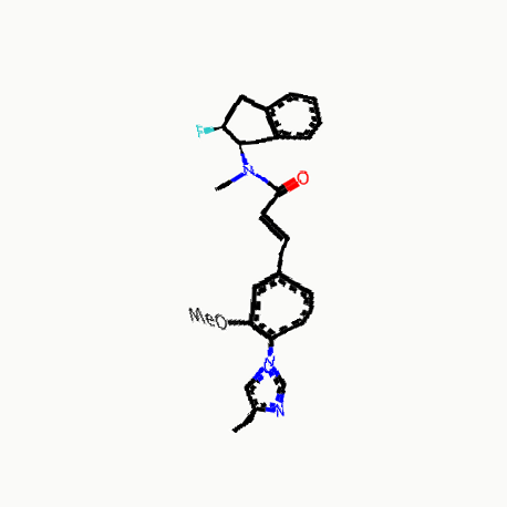 COc1cc(C=CC(=O)N(C)[C@@H]2c3ccccc3C[C@@H]2F)ccc1-n1cnc(C)c1